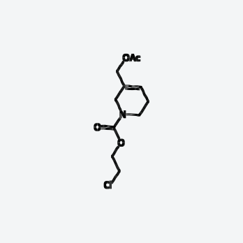 CC(=O)OCC1=CCCN(C(=O)OCCCl)C1